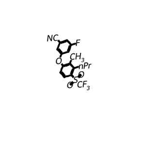 CCCc1c(S(=O)(=O)C(F)(F)F)ccc(Oc2cc(F)cc(C#N)c2)c1C